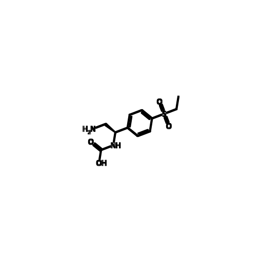 CCS(=O)(=O)c1ccc([C@H](CN)NC(=O)O)cc1